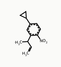 [CH2]C(C=C)c1cc(C2CC2)ccc1[N+](=O)[O-]